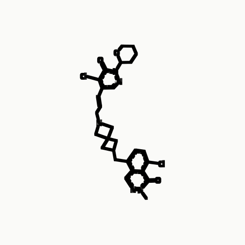 Cn1ncc2c(CC3CC4(C3)CN(C/C=C/c3cnn(C5CCCCO5)c(=O)c3Cl)C4)ccc(Cl)c2c1=O